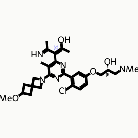 CNC[C@@H](O)COc1ccc(Cl)c(-c2nc(/C(C(C)=N)=C(\C)O)c(C)c(N3CC4(CC(OC)C4)C3)n2)c1